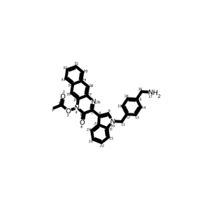 CC(=O)On1c(=O)c(-c2cn(Cc3ccc(CN)cc3)c3ccccc23)nc2cc3ccccc3cc21